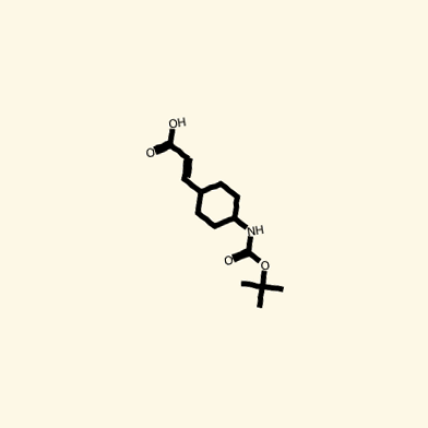 CC(C)(C)OC(=O)NC1CCC(C=CC(=O)O)CC1